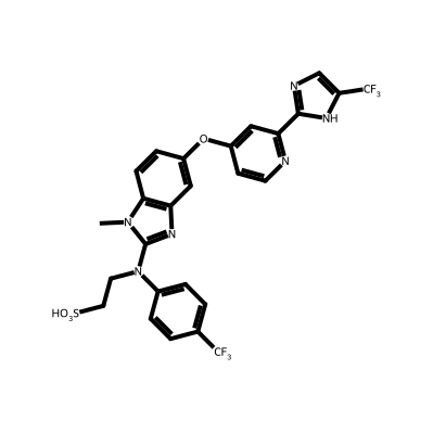 Cn1c(N(CCS(=O)(=O)O)c2ccc(C(F)(F)F)cc2)nc2cc(Oc3ccnc(-c4ncc(C(F)(F)F)[nH]4)c3)ccc21